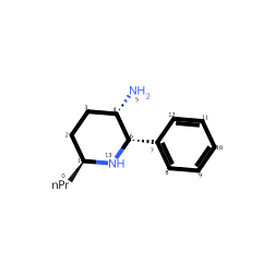 CCC[C@H]1CC[C@H](N)[C@H](c2ccccc2)N1